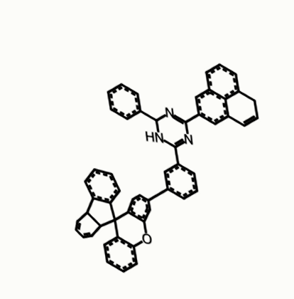 C1=CC2c3ccccc3C3(c4ccccc4Oc4cc(-c5cccc(C6=NC(c7cc8c9c(cccc9c7)CC=C8)=NC(c7ccccc7)N6)c5)ccc43)C2C=C1